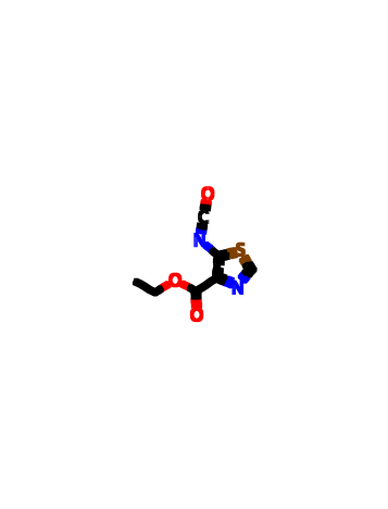 CCOC(=O)c1ncsc1N=C=O